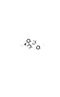 CC1=C(Oc2cccc(Cl)c2C#N)C=CN(c2cccc(S(N)(=O)=O)c2-c2cc(C)cnc2N)C1